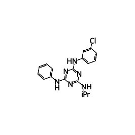 CC(C)Nc1nc(Nc2ccccc2)nc(Nc2cccc(Cl)c2)n1